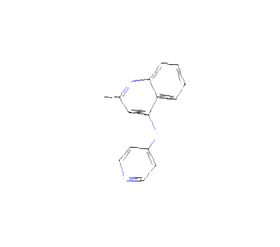 Cc1cc(Nc2ccncc2)c2ccccc2n1